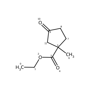 CCOC(=O)C1(C)CCC(=O)C1